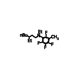 CCCCC(CC)CCN(CC)c1c(F)c(C)c(F)c(F)c1F